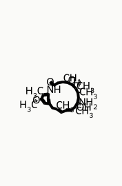 COc1cc2cc(c1C)NC(=O)CC[C@]1(C)O[C@H]1C(C)[C@@H](C)C[C@](N)(O)[C@H](C)/C=C/C=C(\C)C2